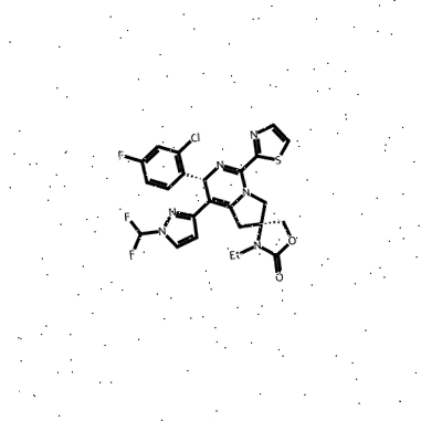 CCN1C(=O)OC[C@@]12CC1=C(c3ccn(C(F)F)n3)[C@H](c3ccc(F)cc3Cl)N=C(c3nccs3)N1C2